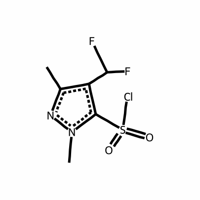 Cc1nn(C)c(S(=O)(=O)Cl)c1C(F)F